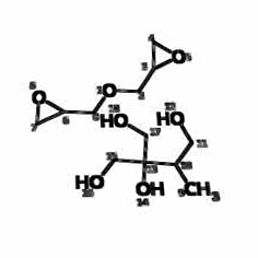 C(OCC1CO1)C1CO1.CC(CO)C(O)(CO)CO